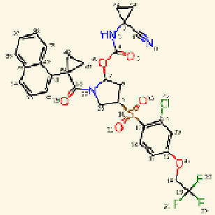 N#CC1(NC(=O)O[C@H]2C[C@@H](S(=O)(=O)c3ccc(OCC(F)(F)F)cc3Cl)CN2C(=O)C2(c3cccc4ccccc34)CC2)CC1